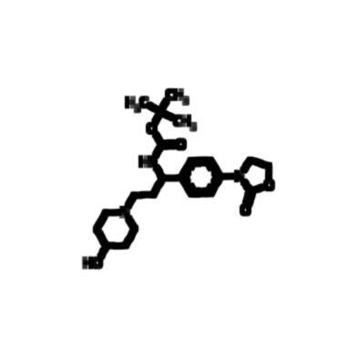 CC(C)(C)OC(=O)NC(CCN1CCC(O)CC1)c1ccc(N2CCOC2=O)cc1